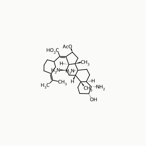 CC(=O)O[C@H]1C[C@@]2(C)[C@H](/C1=C(/C(=O)O)C1CCCC(=C(C)C)C1)[C@H](N)C[C@H]1[C@@]3(C)CC[C@@H](O)[C@@H](N)[C@@H]3CC[C@@]12N